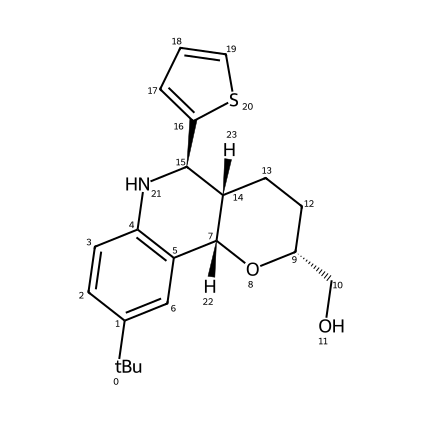 CC(C)(C)c1ccc2c(c1)[C@H]1O[C@@H](CO)CC[C@H]1[C@H](c1cccs1)N2